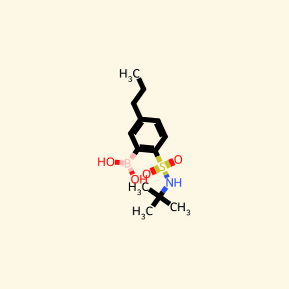 CCCc1ccc(S(=O)(=O)NC(C)(C)C)c(B(O)O)c1